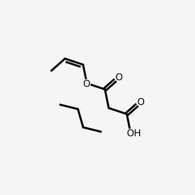 C/C=C\OC(=O)CC(=O)O.CCCC